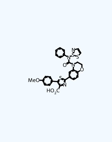 COc1ccc(-c2sc(-c3ccc4c(c3)N(C(=O)N(c3ccccc3)S3=NC=CS3)CCO4)nc2C(=O)O)cc1